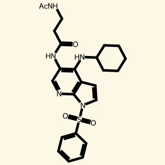 CC(=O)NCCC(=O)Nc1cnc2c(ccn2S(=O)(=O)c2ccccc2)c1NC1CCCCC1